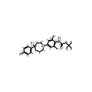 Cc1cc(N2CCCC(F)(c3ccc(F)cc3)CC2)cc(C)c1NC(=O)CC(C)(C)C